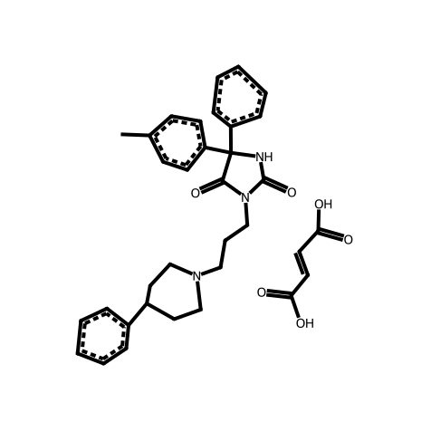 Cc1ccc(C2(c3ccccc3)NC(=O)N(CCCN3CCC(c4ccccc4)CC3)C2=O)cc1.O=C(O)C=CC(=O)O